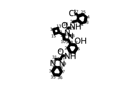 O=C(Nc1ccc(O)c(-c2cc(C3CCC3)n(C(=O)NCc3ccccc3Cl)n2)c1)c1cnc2ccccc2n1